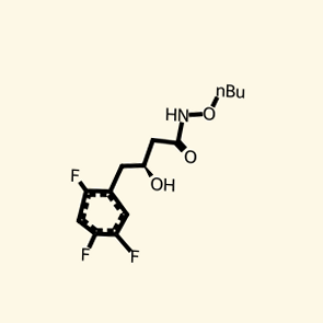 CCCCONC(=O)C[C@@H](O)Cc1cc(F)c(F)cc1F